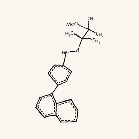 COC(C)(C)C(C)(C)OBc1ccc(-c2cccc3ccccc23)cc1